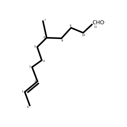 C/C=C/CCCC(C)CCC[C]=O